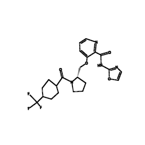 O=C(Nc1ncco1)c1ncccc1OC[C@@H]1CCCN1C(=O)C1CCC(C(F)(F)F)CC1